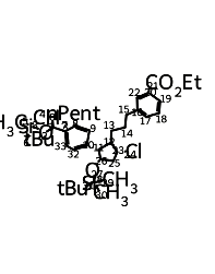 CCCCCC(O[Si](C)(C)C(C)(C)C)c1ccc([C@@H]2C(CCCc3cccc(C(=O)OCC)c3)[C@H](Cl)C[C@H]2O[Si](C)(C)C(C)(C)C)cc1